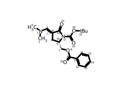 CN(C)/C=C1\C[C@@H](COC(=O)c2ccccc2)N(C(=O)OC(C)(C)C)C1=O